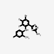 Cc1cc(I)ccc1Nc1c(-c2nnc(N)s2)cc(Br)c(F)c1F